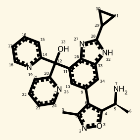 Cc1noc([C@H](C)N)c1-c1cc(C(O)(c2ccccn2)c2ccccn2)c2nc(C3CC3)[nH]c2c1